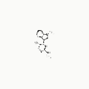 CNc1ncc(Cl)c(-c2cn(C)c3ccccc23)n1